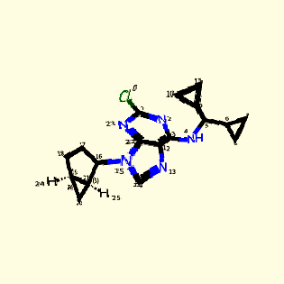 Clc1nc(NC(C2CC2)C2CC2)c2ncn(C3[CH][CH][C@@H]4C[C@H]34)c2n1